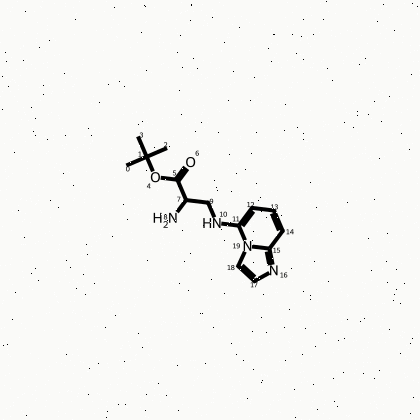 CC(C)(C)OC(=O)C(N)CNc1cccc2nccn12